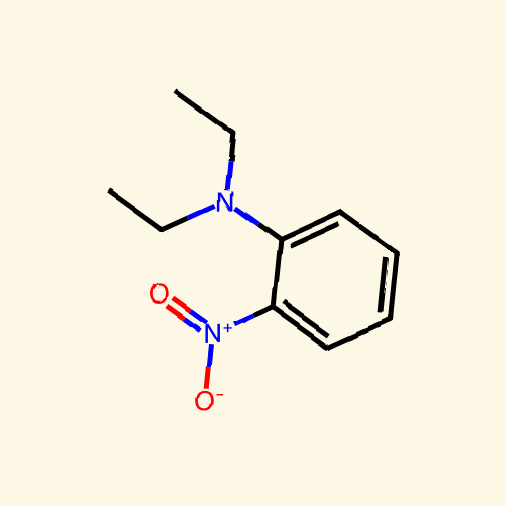 CCN(CC)c1ccccc1[N+](=O)[O-]